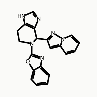 c1ccc2oc(N3CCc4[nH]cnc4C3c3cc4ccccn4n3)nc2c1